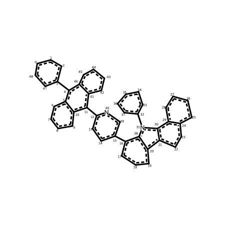 c1ccc(-c2c3ccccc3c(-c3ccc(-c4cccc5c6ccc7ccccc7c6n(-c6ccccc6)c45)cn3)c3ccccc23)cc1